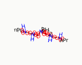 BC(=O)CN(CCOC(=O)COCC(=O)NCCOCCOCCNC(=O)OCCC)CCOC(=O)COCC(=O)NCCOCCOCCNC(=O)OCCC